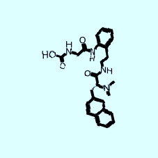 CN(C)[C@H](Cc1ccc2ccccc2c1)C(=O)NCCc1ccccc1NC(=O)CNC(=O)O